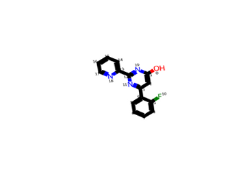 Oc1cc(-c2ccccc2F)nc(-c2ccccn2)n1